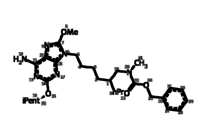 CCCC(CCCCn1c(OC)nc2c(N)nc(O[C@@H](C)CCC)nc21)CN(C)C(=O)OCc1ccccc1